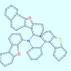 c1ccc(N(c2cccc3c2oc2ccccc23)c2cccc3oc4c5ccccc5ccc4c23)c(-c2cccc3sc4ccccc4c23)c1